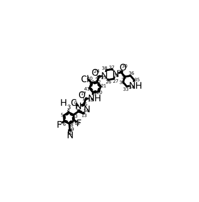 Cn1c(-c2ccc(F)c(C#N)c2F)cnc1C(=O)Nc1ccc(C(=O)N2CCN(C(=O)C3CCNCC3)CC2)c(Cl)c1